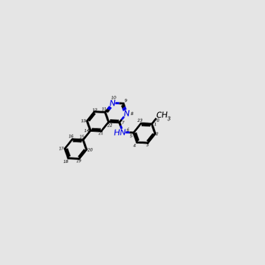 Cc1cccc(Nc2ncnc3ccc(-c4ccccc4)cc23)c1